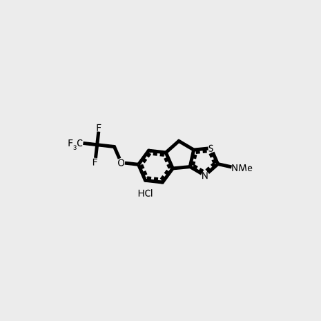 CNc1nc2c(s1)Cc1cc(OCC(F)(F)C(F)(F)F)ccc1-2.Cl